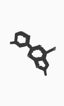 Cc1cccc(-c2nc(Cl)c3cc(C)oc3n2)c1